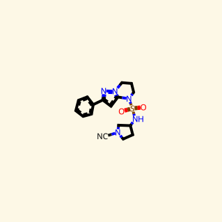 N#CN1CCC(NS(=O)(=O)N2CCCn3nc(-c4ccccc4)cc32)C1